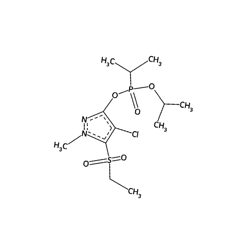 CCS(=O)(=O)c1c(Cl)c(OP(=O)(OC(C)C)C(C)C)nn1C